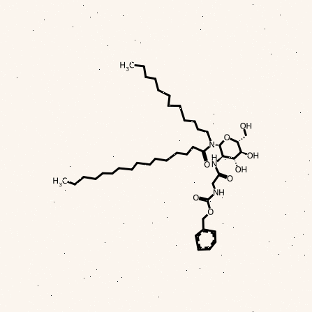 CCCCCCCCCCCCCCCC(=O)N(CCCCCCCCCCCC)[C@@H]1O[C@H](CO)[C@@H](O)[C@H](O)[C@H]1NC(=O)CNC(=O)OCc1ccccc1